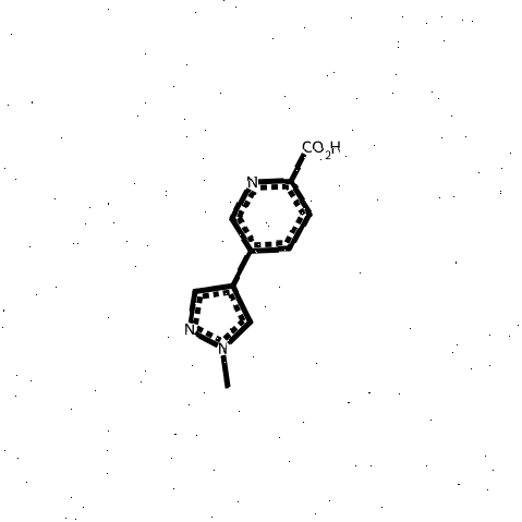 Cn1cc(-c2ccc(C(=O)O)nc2)cn1